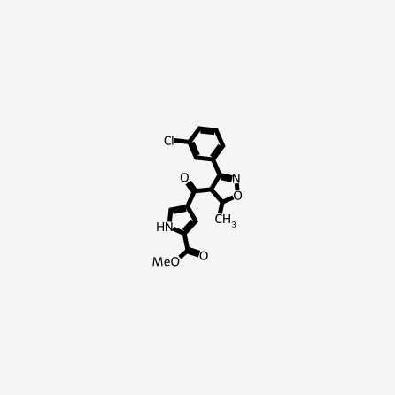 COC(=O)c1cc(C(=O)C2C(c3cccc(Cl)c3)=NOC2C)c[nH]1